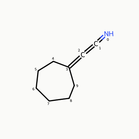 N=C=C=C1CCCCCC1